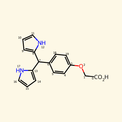 O=C(O)COc1ccc(C(c2ccc[nH]2)c2ccc[nH]2)cc1